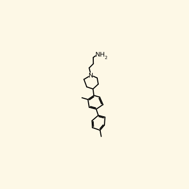 Cc1ccc(-c2ccc(C3CCN(CCCN)CC3)c(C)c2)cc1